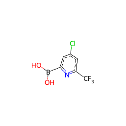 OB(O)c1cc(Cl)cc(C(F)(F)F)n1